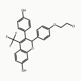 Oc1ccc(C2=C(C(F)(F)F)c3ccc(O)cc3OC2c2ccc(OCCCl)cc2)cc1